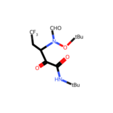 CC(C)(C)NC(=O)C(=O)C(CC(F)(F)F)N(C=O)OC(C)(C)C